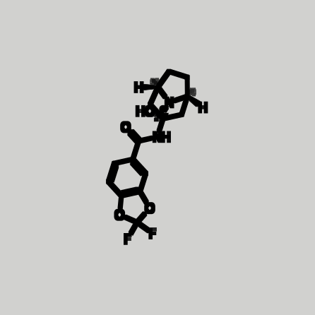 O=C(NC1C[C@H]2CC[C@@H](C1)N2C(=O)O)c1ccc2c(c1)OC(F)(F)O2